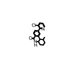 CC1CCCC2NC(=O)c3ccc(-c4ncccc4Cl)cc3C12